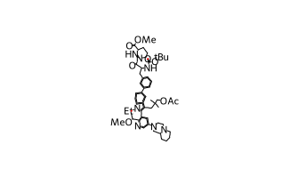 CCn1c(-c2cc(N3CCN4CCCCC4C3)cnc2[C@H](C)OC)c(CC(C)(C)COC(C)=O)c2cc(-c3cccc(CC(NC(=O)OC(C)(C)C)C(=O)N4CCCC(C(=O)OC)N4)c3)ccc21